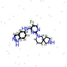 Fc1cnc(N2CCCC3(CCNC3)C2)nc1Nc1ccc2[nH]ncc2c1